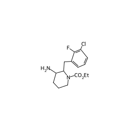 CCOC(=O)N1CCCC(N)C1Cc1cccc(Cl)c1F